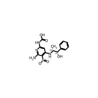 C[C@@H](Nc1cc(NC(=O)O)nc(N)c1[N+](=O)[O-])[C@@H](O)c1ccccc1